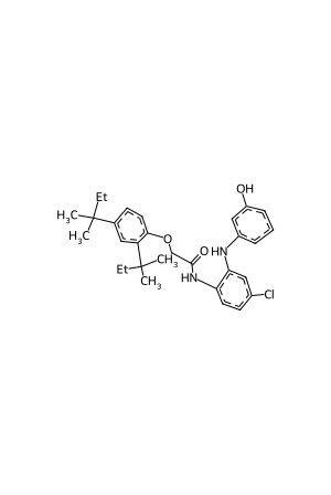 CCC(C)(C)c1ccc(OCC(=O)Nc2ccc(Cl)cc2Nc2cccc(O)c2)c(C(C)(C)CC)c1